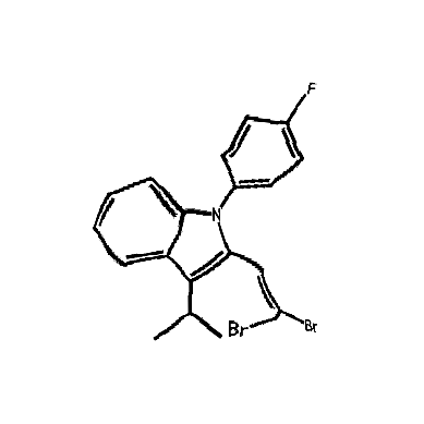 CC(C)c1c(C=C(Br)Br)n(-c2ccc(F)cc2)c2ccccc12